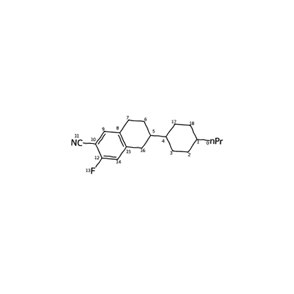 CCCC1CCC(C2CCc3cc(C#N)c(F)cc3C2)CC1